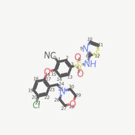 N#Cc1cc(S(=O)(=O)Nc2nccs2)ccc1Oc1ccc(Cl)cc1CN1CCOCC1